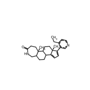 CCc1ccncc1C1=CC=C2C3CCC4CNC(=O)CC[C@]4(C)C3CC[C@]12C